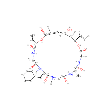 C/C=C(\C)[C@H]1OC(=O)[C@@H](C)NC(=O)C(C(C)CC)NC(=O)CN(C)C(=O)[C@@H](CC2CCCCC2)N(C)C(=O)[C@H](C)NC(=O)[C@@H](CC(C)C)OC(=O)/C(C)=C/C[C@H](O)[C@@H]1C